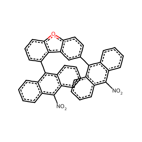 O=[N+]([O-])c1c2ccccc2c(-c2ccc3oc4cccc(-c5c6ccccc6c([N+](=O)[O-])c6ccccc56)c4c3c2)c2ccccc12